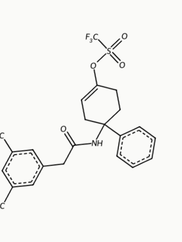 O=C(Cc1cc(C(F)(F)F)cc(C(F)(F)F)c1)NC1(c2ccccc2)CC=C(OS(=O)(=O)C(F)(F)F)CC1